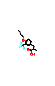 CCCCOc1ccc(CC(C)C(=O)O)cc1C(F)(F)F